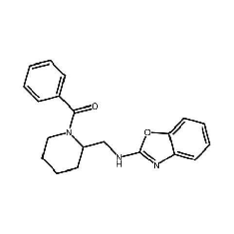 O=C(c1ccccc1)N1CCCCC1CNc1nc2ccccc2o1